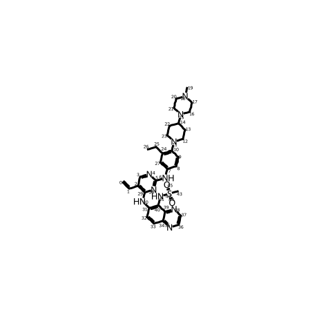 C=Cc1cnc(Nc2ccc(N3CCC(N4CCN(C)CC4)CC3)c(CC)c2)nc1Nc1ccc2nccnc2c1NS(C)(=O)=O